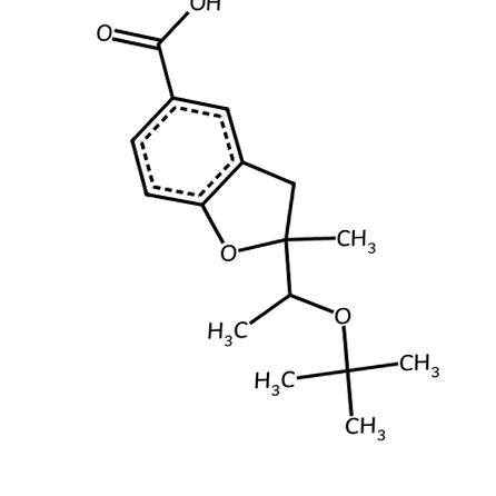 CC(OC(C)(C)C)C1(C)Cc2cc(C(=O)O)ccc2O1